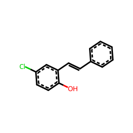 Oc1ccc(Cl)cc1/C=C/c1ccccc1